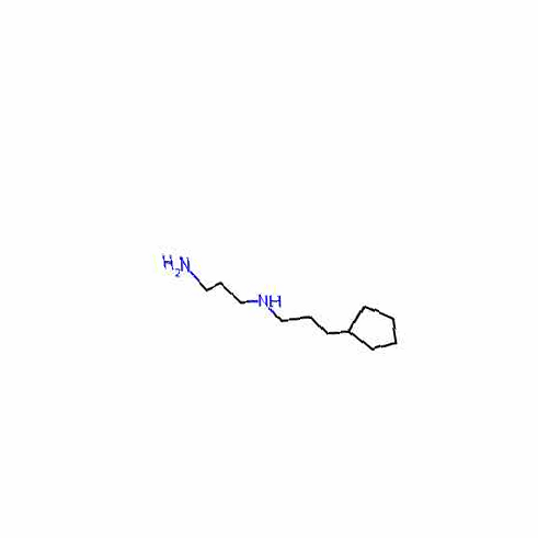 NCCCNCCCC1CCCC1